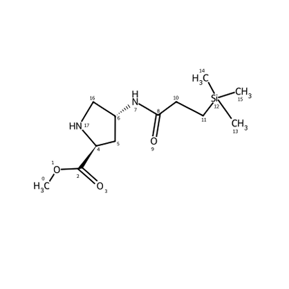 COC(=O)[C@@H]1C[C@@H](NC(=O)CC[Si](C)(C)C)CN1